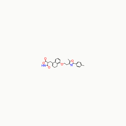 Cc1ccc(-c2nc(CCOc3cccc4c3CCC=C4CC3C(=O)NOC3=O)c(C)o2)cc1